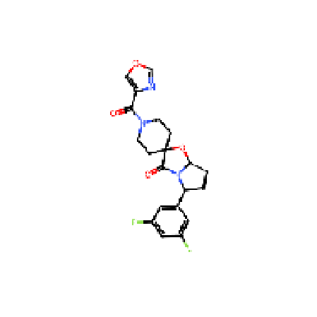 O=C(c1cocn1)N1CCC2(CC1)OC1CCC(c3cc(F)cc(F)c3)N1C2=O